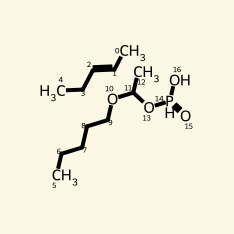 CC=CCC.CCCCCOC(C)O[PH](=O)O